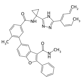 C=C/C=C(\C=C/C)c1nnc(C2(NC(=O)c3ccc(C)c(-c4ccc5oc(-c6ccccc6)c(C(=O)NC)c5c4)c3)CC2)[nH]1